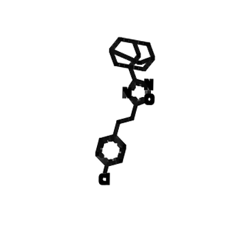 Clc1ccc(CCc2nc(C34CC5CC(CC(C5)C3)C4)no2)cc1